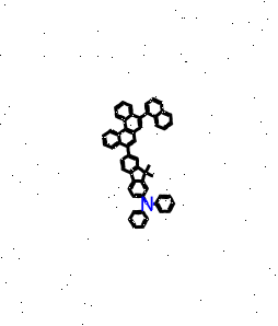 CC1(C)c2cc(-c3cc4cc(-c5cccc6ccccc56)c5ccccc5c4c4ccccc34)ccc2-c2ccc(N(c3ccccc3)c3ccccc3)cc21